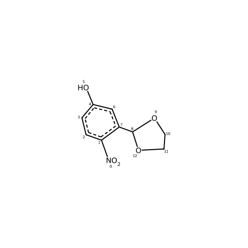 O=[N+]([O-])c1ccc(O)cc1C1OCCO1